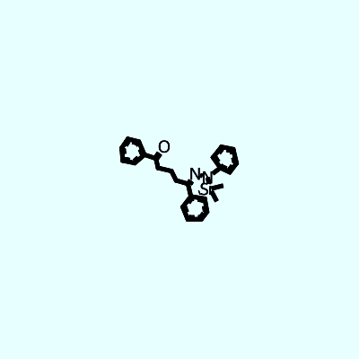 C[Si](C)(C)N(N=C(CCCC(=O)c1ccccc1)c1ccccc1)c1ccccc1